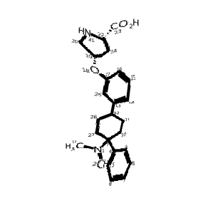 CN(C)C1(c2ccccc2)CCC(c2cccc(O[C@@H]3CN[C@H](C(=O)O)C3)c2)CC1